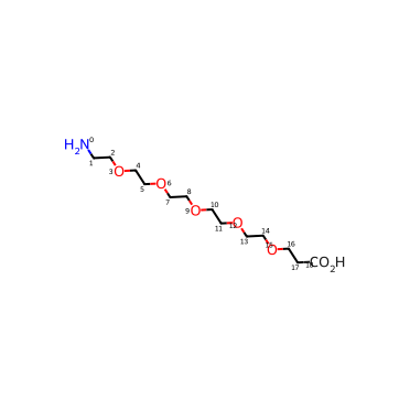 NCCOCCOCCOCCOCCOCCC(=O)O